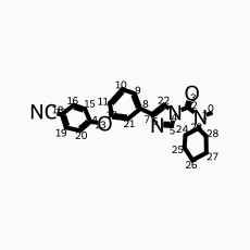 CN(C(=O)n1cnc(-c2cccc(Oc3ccc(C#N)cc3)c2)c1)C1CCCCC1